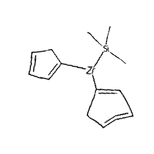 C[Si](C)(C)[Zr]([C]1=CC=CC1)[C]1=CC=CC1